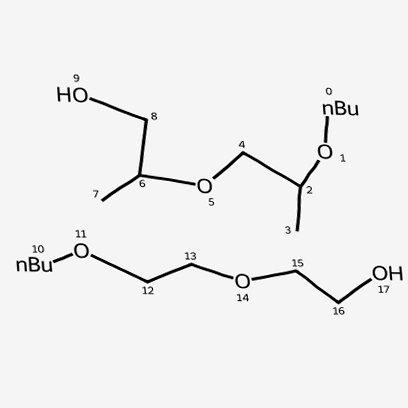 CCCCOC(C)COC(C)CO.CCCCOCCOCCO